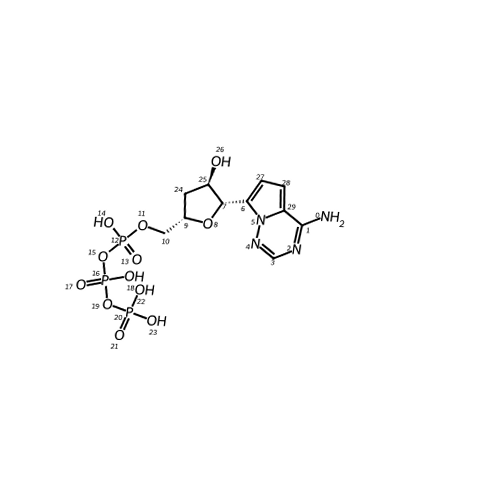 Nc1ncnn2c([C@@H]3O[C@H](COP(=O)(O)OP(=O)(O)OP(=O)(O)O)C[C@H]3O)ccc12